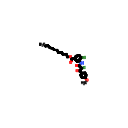 CCCCCCCCCCCCOC(=O)c1ccc(Cl)c(NC(=O)C(Cl)C(=O)c2ccc(OC)cc2)c1